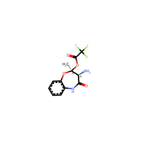 C[C@@]1(OC(=O)C(F)(F)F)Oc2ccccc2NC(=O)[C@@H]1N